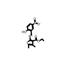 CCOC(=O)c1c(/N=C/c2cc([N+](=O)[O-])ccc2O)sc(C)c1C